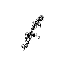 CC(=O)OCCC1CCN(C(=O)[C@@H](N)CSCCCNC(=O)OCc2ccccc2)CC1